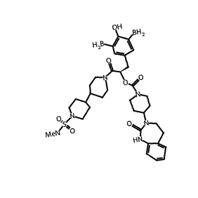 Bc1cc(C[C@@H](OC(=O)N2CCC(N3CCc4ccccc4NC3=O)CC2)C(=O)N2CCC(C3CCN(S(=O)(=O)NC)CC3)CC2)cc(B)c1O